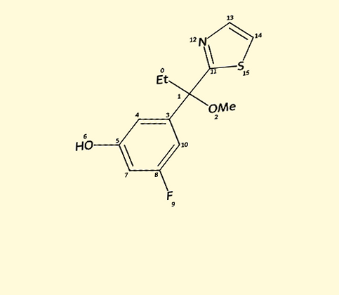 CCC(OC)(c1cc(O)cc(F)c1)c1nccs1